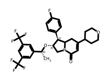 C[C@@H](O[C@H]1CN2C(=O)C=C(C3CCOCC3)CC2[C@@H]1c1ccc(F)cc1)c1cc(C(F)(F)F)cc(C(F)(F)F)c1